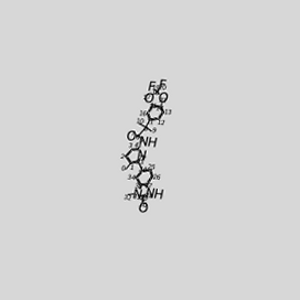 Cc1ccc(NC(=O)C(C)(C)c2ccc3c(c2)OC(F)(F)O3)nc1-c1ccc2[nH]c(=O)n(C)c2c1